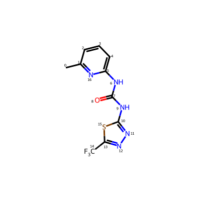 Cc1cccc(NC(=O)Nc2nnc(C(F)(F)F)s2)n1